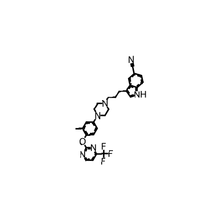 Cc1cc(N2CCN(CCCc3c[nH]c4ccc(C#N)cc34)CC2)ccc1Oc1nccc(C(F)(F)F)n1